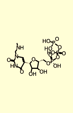 CNCn1cc([C@@H]2O[C@H](COP(=O)(O)OP(=O)(O)OP(=O)(O)O)C(O)C2O)c(=O)[nH]c1=O